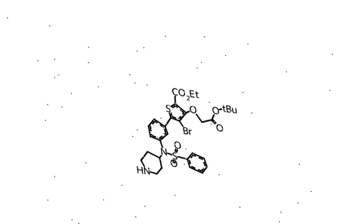 CCOC(=O)c1sc(-c2cccc(N(C3CCNCC3)S(=O)(=O)c3ccccc3)c2)c(Br)c1OCC(=O)OC(C)(C)C